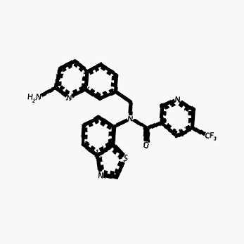 Nc1ccc2ccc(CN(C(=O)c3cncc(C(F)(F)F)c3)c3cccc4ncsc34)cc2n1